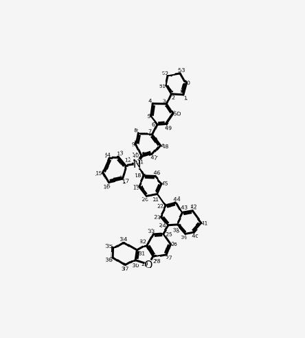 C1=CC(c2ccc(-c3ccc(N(c4ccccc4)c4ccc(-c5cc(-c6ccc7oc8c(c7c6)CCCC8)c6ccccc6c5)cc4)cc3)cc2)=CCC1